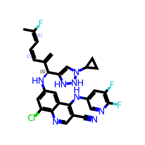 C=C(/C=C\C=C(/C)F)[C@H](Nc1cc(Cl)c2ncc(C#N)c(Nc3cnc(F)c(F)c3)c2c1)C1=CN(C2CC2)NN1